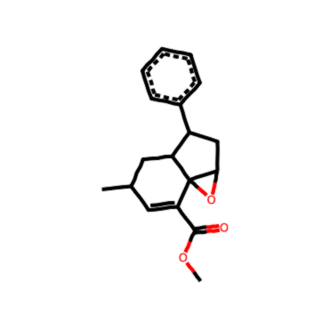 COC(=O)C1=CC(C)CC2C(c3ccccc3)CC3OC132